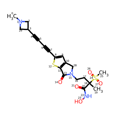 CN1CC(C#CC#Cc2cc3c(s2)C(=O)N(CCC(C)(C(=O)NO)S(C)(=O)=O)C3)C1